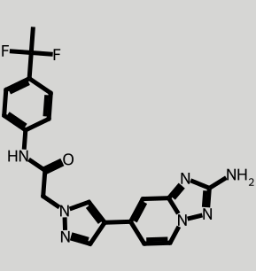 CC(F)(F)c1ccc(NC(=O)Cn2cc(-c3ccn4nc(N)nc4c3)cn2)cc1